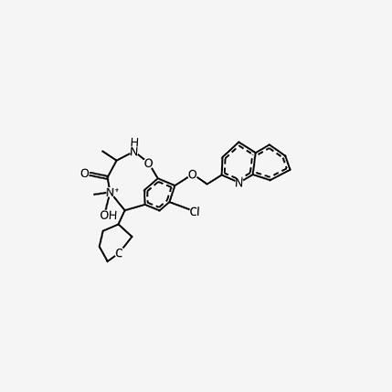 CC1NOc2cc(cc(Cl)c2OCc2ccc3ccccc3n2)C(C2CCCCC2)[N+](C)(O)C1=O